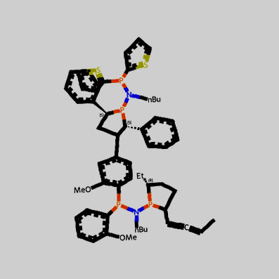 CC=C=CC1CC[C@@H](CC)P1N(CCCC)P(c1ccccc1OC)c1ccc(C2C[C@@H](c3ccccc3)P(N(CCCC)P(c3cccs3)c3cccs3)[C@@H]2c2ccccc2)cc1OC